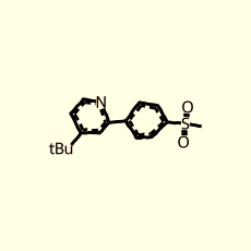 CC(C)(C)c1ccnc(-c2ccc(S(C)(=O)=O)cc2)c1